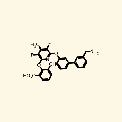 Cc1c(F)c(Oc2cccc(-c3cccc(CN)c3)c2)nc(Oc2c(O)cccc2C(=O)O)c1F